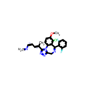 C=N/C=C\C=C(/C)c1nnc2n1-c1ccc(OC)c(Cl)c1C(c1c(F)cccc1F)=NC2